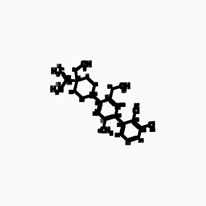 Cc1nc(N2CCC(CO)([C@H](C)N)CC2)c(CO)nc1-c1cccc(Cl)c1Cl